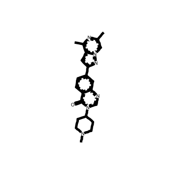 Cc1cn2nc(-c3ccc4c(=O)n(C5CCN(C)CC5)cnc4c3)cc2c(C)n1